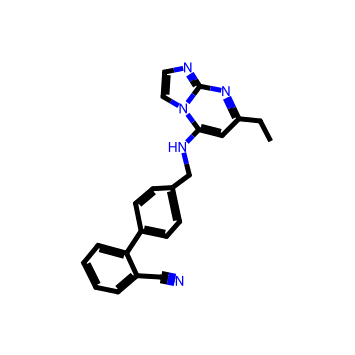 CCc1cc(NCc2ccc(-c3ccccc3C#N)cc2)n2ccnc2n1